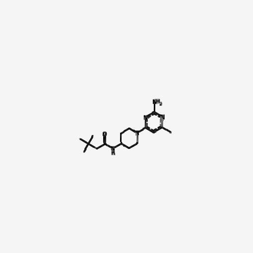 Cc1cc(N2CCC(NC(=O)CC(C)(C)C)CC2)nc(N)n1